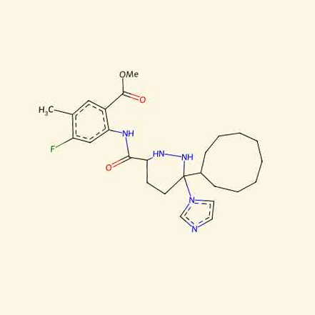 COC(=O)c1cc(C)c(F)cc1NC(=O)C1CCC(C2CCCCCCCC2)(n2ccnc2)NN1